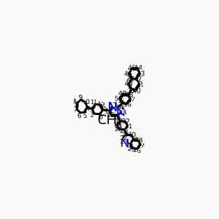 CC1CC(C2=CCC=CCC2)=CC=C1c1cc(C2=CC=C(c3cnc4ccccc4c3)CC2)nc(-c2ccc(-c3ccc4ccccc4c3)cc2)n1